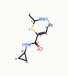 CC(C)/C=C(\SC(C)N)C(=O)NC1CC1